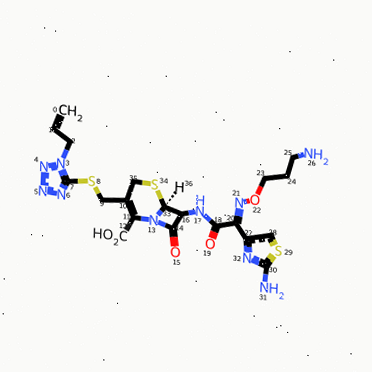 C=CCn1nnnc1SCC1=C(C(=O)O)N2C(=O)C(NC(=O)C(=NOCCCN)c3csc(N)n3)[C@@H]2SC1